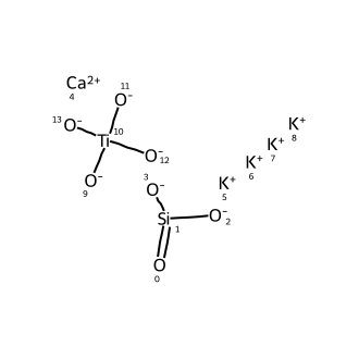 O=[Si]([O-])[O-].[Ca+2].[K+].[K+].[K+].[K+].[O-][Ti]([O-])([O-])[O-]